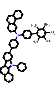 Bc1c(B)c(B)c(-c2ccc(N(c3ccc(-c4ccc5c6ccc7ccccc7c6n(-c6ccccc6)c5c4)cc3)c3ccc4ccc5ccccc5c4c3)cc2)c(B)c1B